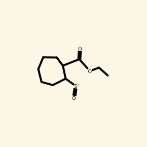 CCOC(=O)C1CCCCCC1[S+]=O